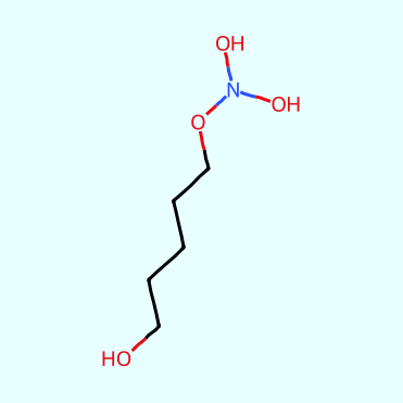 OCCCCCON(O)O